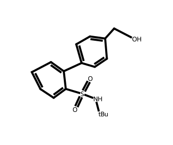 CC(C)(C)NS(=O)(=O)c1ccccc1-c1ccc(CO)cc1